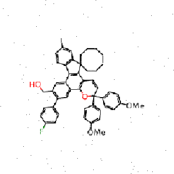 COc1ccc(C2(c3ccc(OC)cc3)C=Cc3c4c(c5cc(CO)c(-c6ccc(F)cc6)cc5c3O2)-c2ccc(C)cc2C42CCCCCCC2)cc1